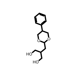 OCC(CO)CC1OCC(c2ccccc2)CO1